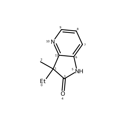 CCC1(C)C(=O)Nc2cccnc21